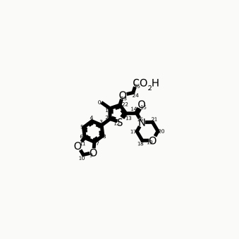 Cc1c(-c2ccc3c(c2)OCO3)sc(C(=O)N2CCOCC2)c1OCC(=O)O